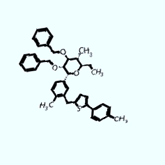 CC[C@H]1O[C@H](c2ccc(C)c(Cc3ccc(-c4ccc(C)cc4)s3)c2)[C@H](OCc2ccccc2)[C@@H](OCc2ccccc2)[C@@H]1C